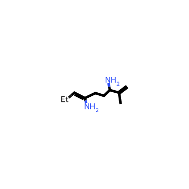 C=C(C)C(N)CCC(N)=CCC